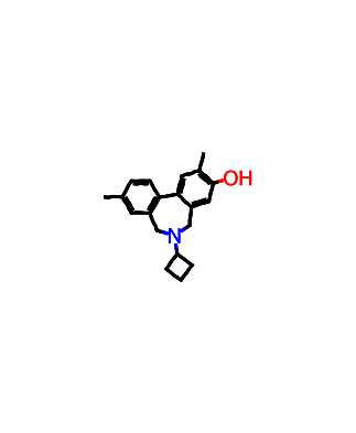 Cc1ccc2c(c1)CN(C1CCC1)Cc1cc(O)c(C)cc1-2